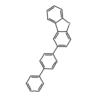 c1ccc(-c2ccc(-c3ccc4sc5ccccc5c4c3)cc2)cc1